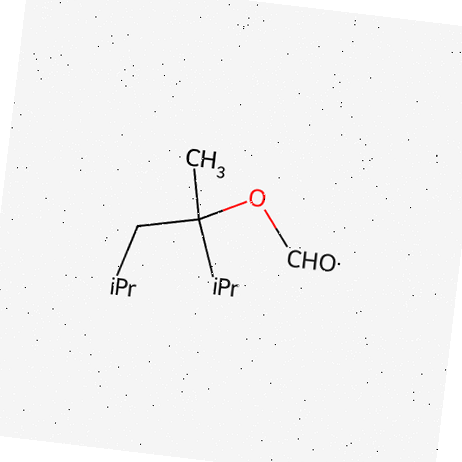 CC(C)CC(C)(O[C]=O)C(C)C